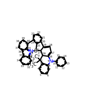 CC1(C)c2ccccc2N(c2ccccc2)C2=CC=C3c4cccc5c4B(C3C21)n1c2ccccc2c2cccc-5c21